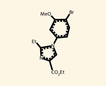 CCOC(=O)c1cn(-c2ccc(Br)c(OC)c2)c(CC)n1